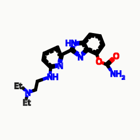 CCN(CC)CCNc1cccc(-c2nc3c(OC(N)=O)cccc3[nH]2)n1